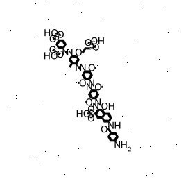 COc1cc(N=Nc2cc(OC)c(N=Nc3c(S(=O)(=O)O)cc4cc(NC(=O)c5ccc(N)cc5)ccc4c3O)cc2OC)c(OC)cc1N=Nc1cc(OCCCS(=O)(=O)O)c(N=Nc2ccc(S(=O)(=O)O)cc2S(=O)(=O)O)cc1C